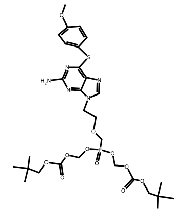 COc1ccc(Sc2nc(N)nc3c2ncn3CCOCP(=O)(OCOC(=O)OCC(C)(C)C)OCOC(=O)OCC(C)(C)C)cc1